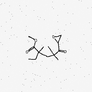 CCC(C)(CC(C)(C)C(=O)C1CO1)C(=O)OC